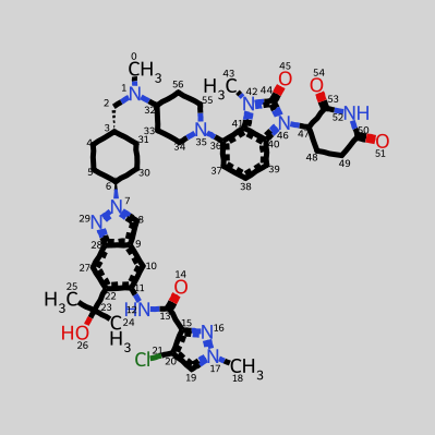 CN(C[C@H]1CC[C@H](n2cc3cc(NC(=O)c4nn(C)cc4Cl)c(C(C)(C)O)cc3n2)CC1)C1CCN(c2cccc3c2n(C)c(=O)n3C2CCC(=O)NC2=O)CC1